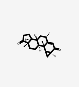 C[C@]12CC[C@H]3[C@@H](C[C@H](F)C4=CC(=O)[C@H]5CC5[C@@]43C)[C@@H]1CCC2=O